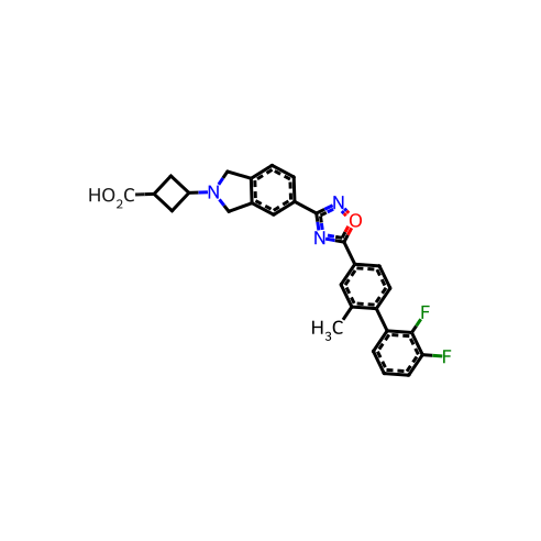 Cc1cc(-c2nc(-c3ccc4c(c3)CN(C3CC(C(=O)O)C3)C4)no2)ccc1-c1cccc(F)c1F